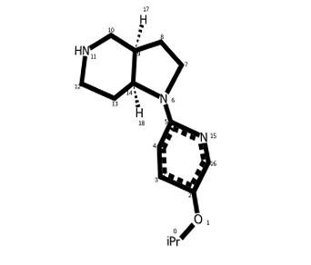 CC(C)Oc1ccc(N2CC[C@@H]3CNCC[C@@H]32)nc1